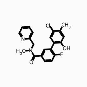 Cc1cc(O)c(-c2cc(C(=O)N(C)Cc3ccccn3)ccc2F)cc1Cl